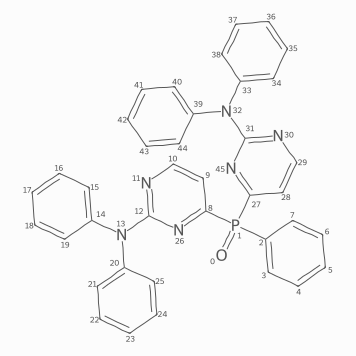 O=P(c1ccccc1)(c1ccnc(N(c2ccccc2)c2ccccc2)n1)c1ccnc(N(c2ccccc2)c2ccccc2)n1